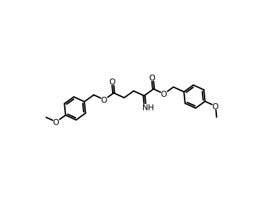 COc1ccc(COC(=O)CCC(=N)C(=O)OCc2ccc(OC)cc2)cc1